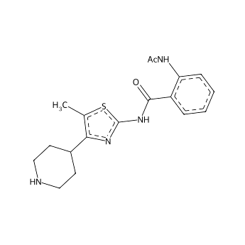 CC(=O)Nc1ccccc1C(=O)Nc1nc(C2CCNCC2)c(C)s1